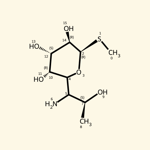 CS[C@H]1OC(C(N)[C@H](C)O)[C@H](O)[C@H](O)[C@H]1O